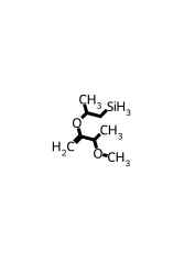 C=C(OC(C)C[SiH3])C(C)OC